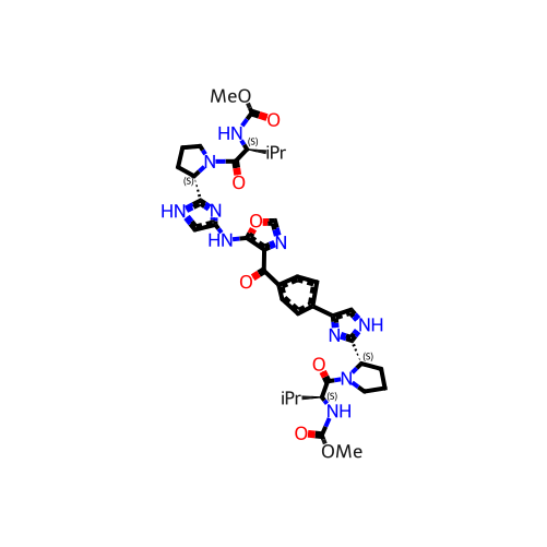 COC(=O)N[C@H](C(=O)N1CCC[C@H]1c1nc(Nc2ocnc2C(=O)c2ccc(-c3c[nH]c([C@@H]4CCCN4C(=O)[C@@H](NC(=O)OC)C(C)C)n3)cc2)c[nH]1)C(C)C